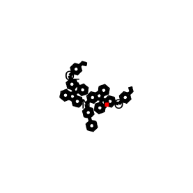 C=Cc1ccc(Oc2ccc(C3(c4ccccc4F)c4ccccc4-c4ccc(N(c5ccc(-c6ccccc6)cc5)c5ccc6c(c5)C(c5ccc(Oc7ccc(C=C)cc7)cc5)(c5ccccc5F)c5ccccc5-6)cc43)cc2)cc1